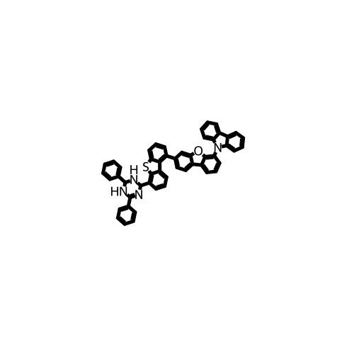 c1ccc(C2=NC(c3cccc4c3sc3cccc(-c5ccc6c(c5)oc5c(-n7c8ccccc8c8ccccc87)cccc56)c34)NC(c3ccccc3)N2)cc1